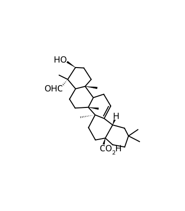 CC1(C)CC[C@]2(C(=O)O)CC[C@]3(C)C(=CCC4[C@@]5(C)CC[C@H](O)[C@@](C)(C=O)C5CC[C@]43C)[C@@H]2C1